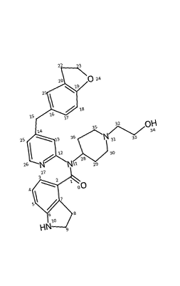 O=C(c1cccc2c1CCN2)N(c1cc(Cc2ccc3c(c2)CCO3)ccn1)C1CCN(CCO)CC1